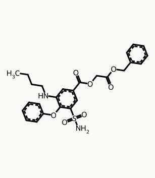 CCCCNc1cc(C(=O)OCC(=O)OCc2ccccc2)cc(S(N)(=O)=O)c1Oc1ccccc1